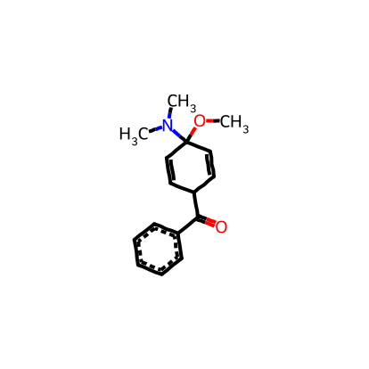 COC1(N(C)C)C=CC(C(=O)c2ccccc2)C=C1